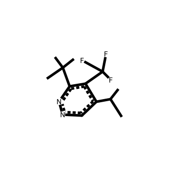 CC(C)c1cnnc(C(C)(C)C)c1C(F)(F)F